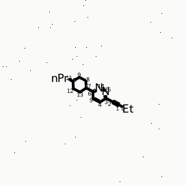 CCC#Cc1ccc(C2CCC(CCC)CC2)nn1